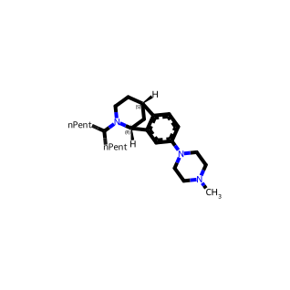 CCCCCC(CCCCC)N1CC[C@H]2C[C@@H]1c1cc(N3CCN(C)CC3)ccc12